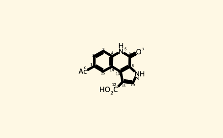 CC(=O)c1ccc2[nH]c(=O)c3[nH]cc(C(=O)O)c3c2c1